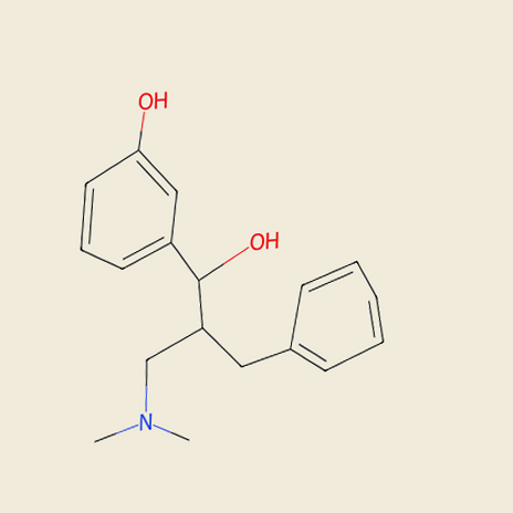 CN(C)CC(Cc1ccccc1)C(O)c1cccc(O)c1